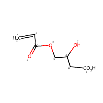 C=CC(=O)OCC(O)CC(=O)O